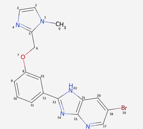 Cn1ccnc1COc1cccc(-c2nc3ncc(Br)cc3[nH]2)c1